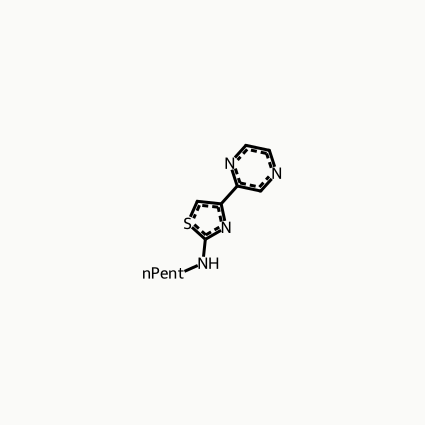 CCCCCNc1nc(-c2cnccn2)cs1